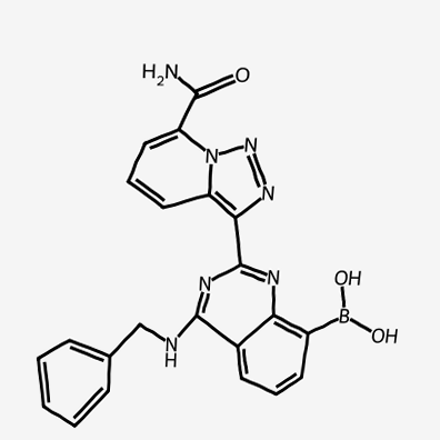 NC(=O)c1cccc2c(-c3nc(NCc4ccccc4)c4cccc(B(O)O)c4n3)nnn12